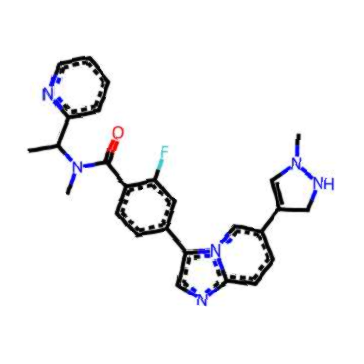 CC(c1ccccn1)N(C)C(=O)c1ccc(-c2cnc3ccc(C4=CN(C)NC4)cn23)cc1F